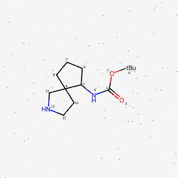 CC(C)(C)OC(=O)NC1CCCC12CCNC2